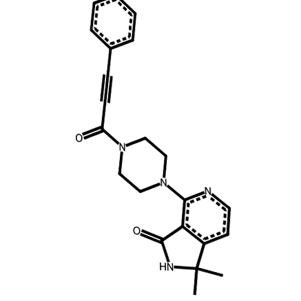 CC1(C)NC(=O)c2c1ccnc2N1CCN(C(=O)C#Cc2ccccc2)CC1